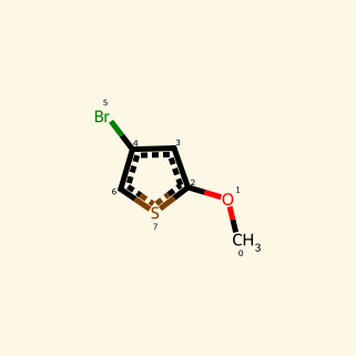 COc1cc(Br)cs1